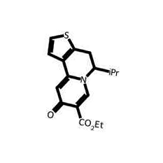 CCOC(=O)c1cn2c(cc1=O)-c1ccsc1CC2C(C)C